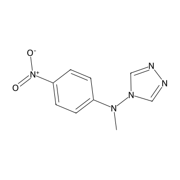 CN(c1ccc([N+](=O)[O-])cc1)n1cnnc1